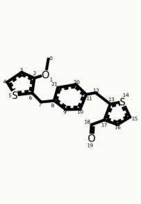 COc1ccsc1Cc1ccc(Cc2sccc2C=O)cc1